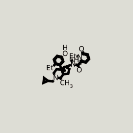 CCc1ccc(O)cc1C12CCN(CC3CC3)C(C)C13CCC(N(C)C(=O)c1cccc(=O)n1CC)C2CC3